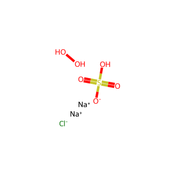 O=S(=O)([O-])O.OO.[Cl-].[Na+].[Na+]